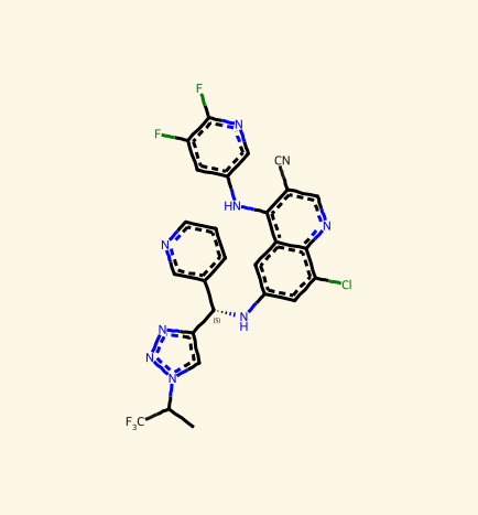 CC(n1cc([C@@H](Nc2cc(Cl)c3ncc(C#N)c(Nc4cnc(F)c(F)c4)c3c2)c2cccnc2)nn1)C(F)(F)F